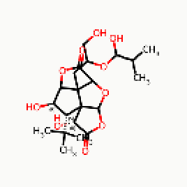 CC(C)C(O)OC(CO)CC12C3OC4OC(=O)[C@H](O)C41[C@H](C(C)(C)C)[C@@H](O)C2OC3=O